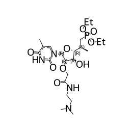 CCOP(=O)(C[C@@H](C)[C@H]1O[C@@H](n2cc(C)c(=O)[nH]c2=O)[C@H](OCC(=O)NCCN(C)C)[C@@H]1O)OCC